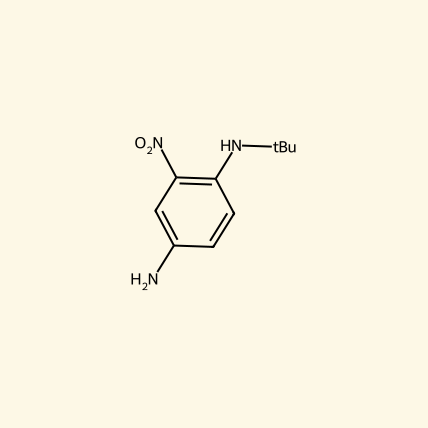 CC(C)(C)Nc1ccc(N)cc1[N+](=O)[O-]